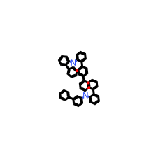 c1ccc(-c2cccc(N(c3ccc(-c4ccc(-c5ccccc5-n5c6ccccc6c6ccccc65)cc4)cc3)c3ccccc3-c3ccccc3)c2)cc1